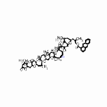 C=C(COC(=O)c1cccc2cc3ccccc3cc12)C[C@@H]1C[C@H](O)[C@]2(C)O[C@@H]3C[C@@H]4O[C@@H]5C[C@]6(C)O[C@]7(C)CC[C@@H]8OC9C[C@]%10(C)O[C@@H]%11C(C)=CC(=O)OC%11CC%10OC9C[C@@H](C)C8OC7CC6O[C@@]5(C)C/C=C\C4OC3CC2O1